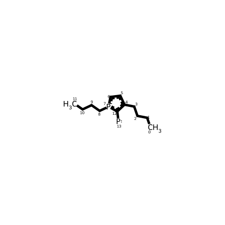 CCCCc1ccp(CCCC)c1[P]